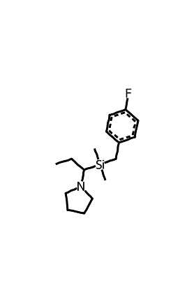 CCC(N1CCCC1)[Si](C)(C)Cc1ccc(F)cc1